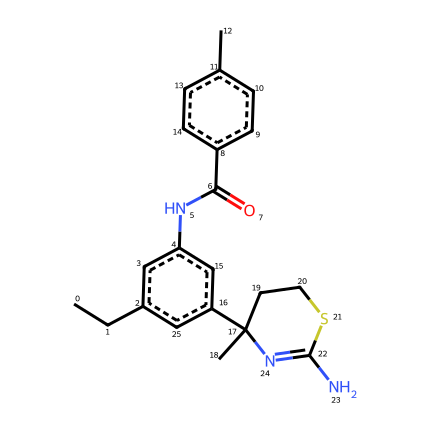 CCc1cc(NC(=O)c2ccc(C)cc2)cc(C2(C)CCSC(N)=N2)c1